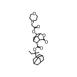 CCC(C)(OC(=O)C1C2CC3C(OC(=O)C31)C2OC(=O)CN1CCOCC1)C12CC3CC(CC(C3)C1)C2